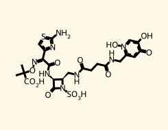 CC(C)(O/N=C(\C(=O)N[C@@H]1C(=O)N(S(=O)(=O)O)[C@@H]1CNC(=O)CCC(=O)NCc1cc(=O)c(O)cn1O)c1csc(N)n1)C(=O)O